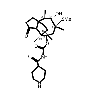 CS[C@]1(C)C[C@@H](OC(=O)NC(=O)C2CCNCC2)[C@@]2(C)C3C(=O)CCC3(CC[C@H]2C)[C@@H](C)[C@@H]1O